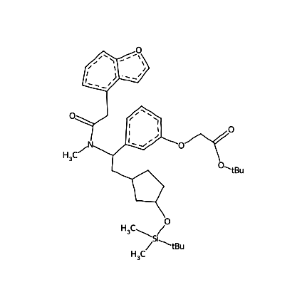 CN(C(=O)Cc1cccc2occc12)C(CC1CCC(O[Si](C)(C)C(C)(C)C)C1)c1cccc(OCC(=O)OC(C)(C)C)c1